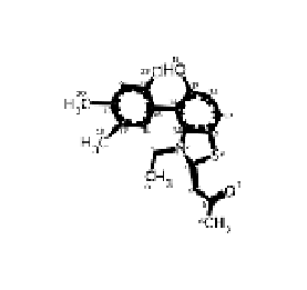 CCN1/C(=C/C(C)=O)Sc2ccc(O)c(-c3cc(C)c(C)cc3Cl)c21